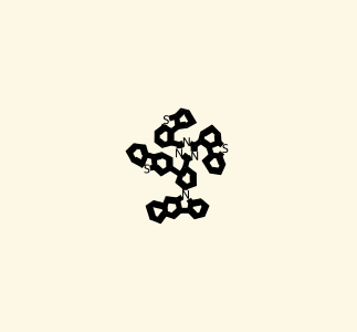 c1ccc2cc3c(cc2c1)c1ccccc1n3-c1ccc(-c2nc(-c3cccc4sc5ccccc5c34)nc(-c3cccc4sc5ccccc5c34)n2)c(-c2ccc3c(c2)sc2ccccc23)c1